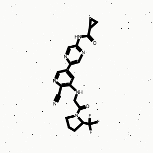 N#Cc1ncc(-c2cnc(NC(=O)C3CC3)cn2)cc1NCC(=O)N1CCCC1C(F)(F)F